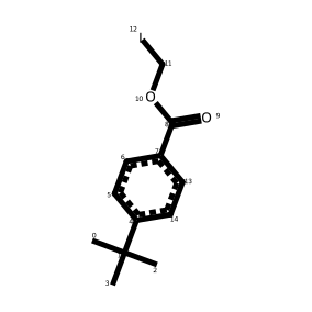 CC(C)(C)c1ccc(C(=O)OCI)cc1